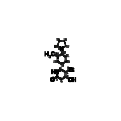 CCc1c(O)cc(=O)[nH]c1-c1ccc(N2CCCC2)c(C)c1